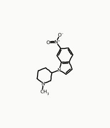 CN1CCCC(n2ccc3ccc([N+](=O)[O-])cc32)C1